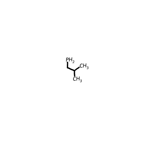 CC(C)CP